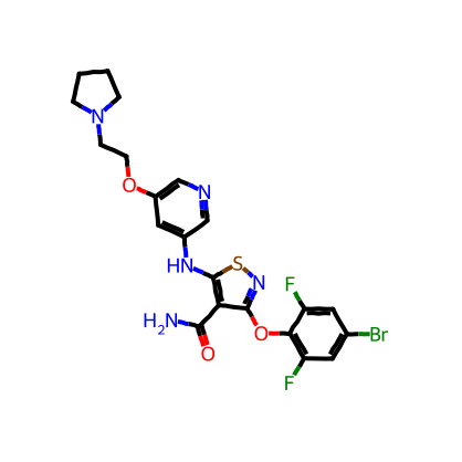 NC(=O)c1c(Oc2c(F)cc(Br)cc2F)nsc1Nc1cncc(OCCN2CCCC2)c1